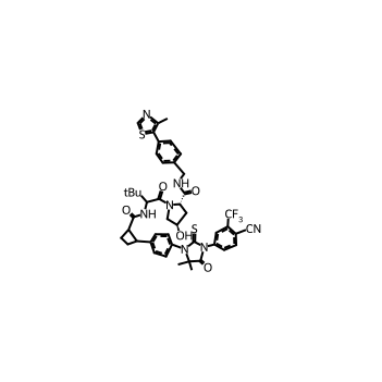 Cc1ncsc1-c1ccc(CNC(=O)[C@@H]2C[C@@H](O)CN2C(=O)C(NC(=O)C2CCC2c2ccc(N3C(=S)N(c4ccc(C#N)c(C(F)(F)F)c4)C(=O)C3(C)C)cc2)C(C)(C)C)cc1